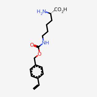 C=Cc1ccc(COC(=O)NCCCC[C@H](N)C(=O)O)cc1